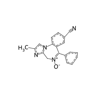 Cc1cn2c(n1)C[N+]([O-])=C(c1ccccc1)c1cc(C#N)ccc1-2